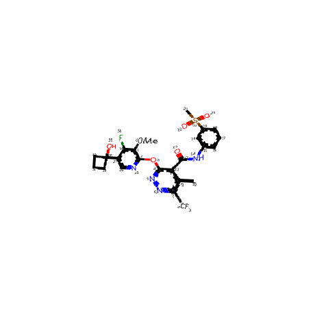 COc1c(Oc2nnc(C(F)(F)F)c(C)c2C(=O)Nc2cccc(S(C)(=O)=O)c2)ncc(C2(O)CCC2)c1F